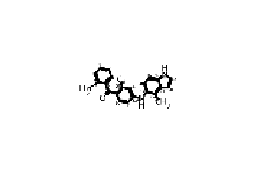 Cc1ccccc1C(=O)c1ccc(Nc2ccc3[nH]ccc3c2C)cc1Cl